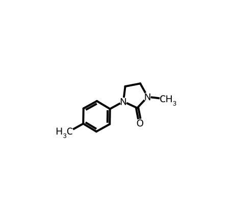 Cc1ccc(N2CCN(C)C2=O)cc1